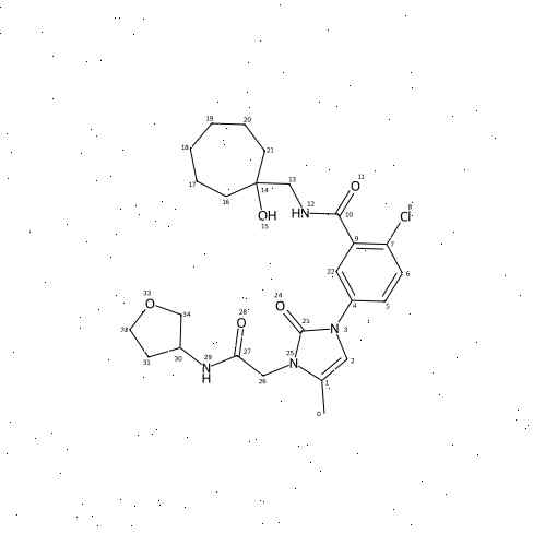 Cc1cn(-c2ccc(Cl)c(C(=O)NCC3(O)CCCCCC3)c2)c(=O)n1CC(=O)NC1CCOC1